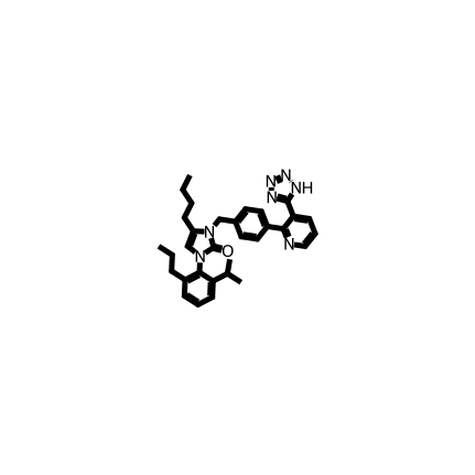 CCCCc1cn(-c2c(CCC)cccc2C(C)C)c(=O)n1Cc1ccc(-c2ncccc2-c2nnn[nH]2)cc1